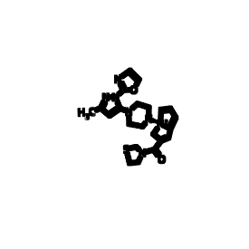 Cc1cc(N2CCN([N@@+]34C=CC=C3C=C(C(=O)N3CCSC3)C4)CC2)n(-c2ncco2)n1